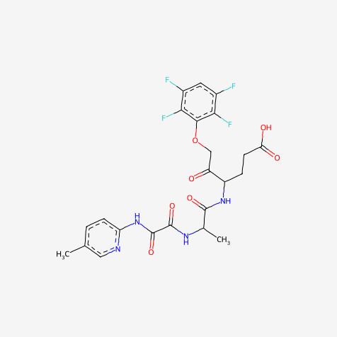 Cc1ccc(NC(=O)C(=O)NC(C)C(=O)NC(CCC(=O)O)C(=O)COc2c(F)c(F)cc(F)c2F)nc1